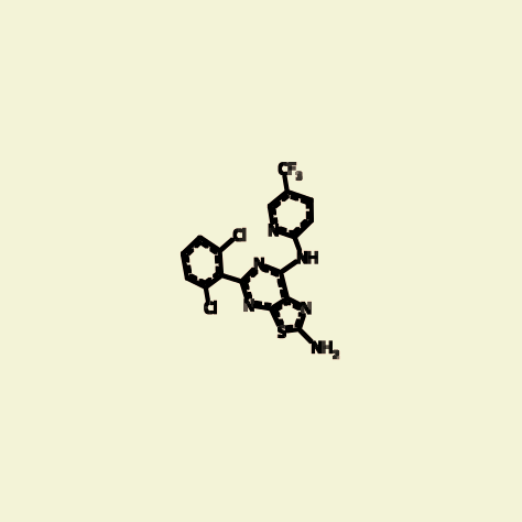 Nc1nc2c(Nc3ccc(C(F)(F)F)cn3)nc(-c3c(Cl)cccc3Cl)nc2s1